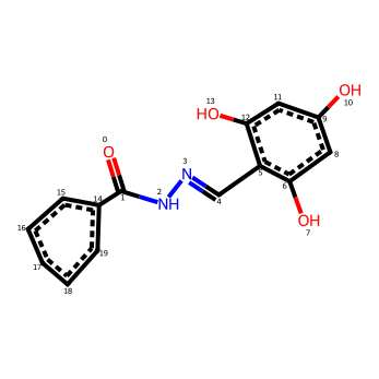 O=C(N/N=C/c1c(O)cc(O)cc1O)c1ccccc1